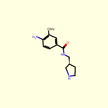 COc1cc(C(=O)NC[C@H]2CCNC2)ccc1N